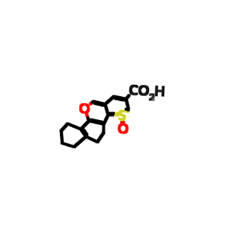 O=C(O)C1=CC2=COC3=C(CCC4=C3CCCC4)C2=S(=O)=C1